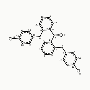 O=C(c1ccccc1Cc1ccc(Cl)cc1)c1ccccc1Cc1ccc(Cl)cc1